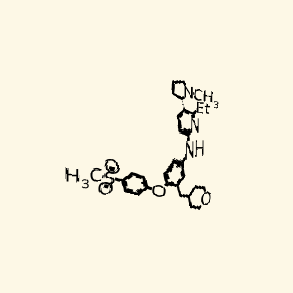 CCc1nc(Nc2ccc(Oc3ccc(S(C)(=O)=O)cc3)c(CC3CCOCC3)c2)ccc1[C@@H]1CCCN1C